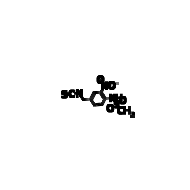 CS(=O)(=O)Nc1ccc(CN=C=S)cc1[N+](=O)[O-]